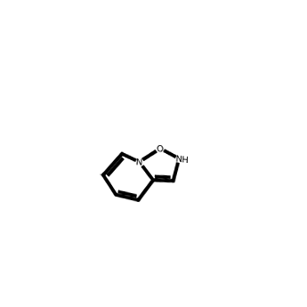 [C]1=CN2ONC=C2C=C1